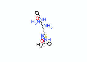 CC(C(=O)Nc1nnc(CCCC/C(N)=C/C=C(\N)NC(=O)Cc2ccccc2)s1)c1ccccc1